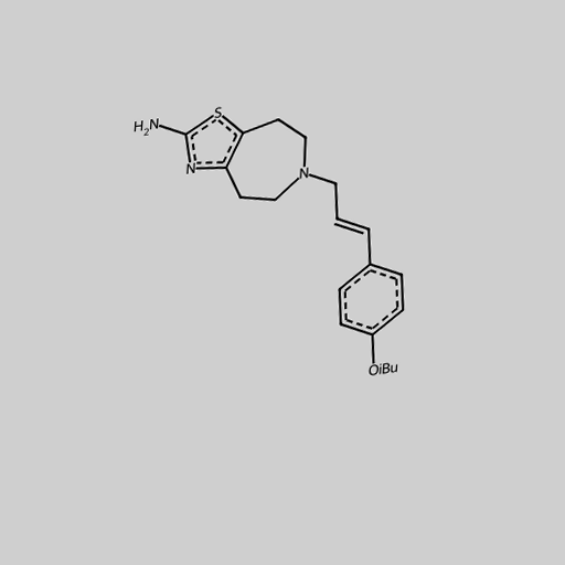 CC(C)COc1ccc(C=CCN2CCc3nc(N)sc3CC2)cc1